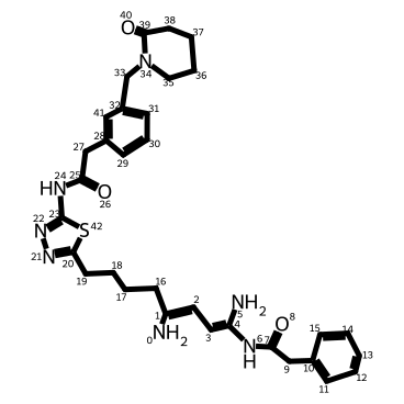 N/C(=C\C=C(/N)NC(=O)Cc1ccccc1)CCCCc1nnc(NC(=O)Cc2cccc(CN3CCCCC3=O)c2)s1